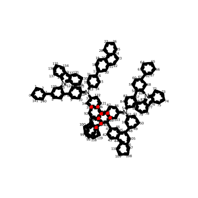 c1ccc(-c2ccc(-c3ccc(N(c4ccc(-c5ccc6c(ccc7ccccc76)c5)cc4)c4ccc(-c5ccc(-c6ccc7c(c6)c(-c6cccc(N(c8ccc(-c9ccc(-c%10ccccc%10)cc9-n9c%10ccccc%10c%10ccccc%109)cc8)c8ccc(-c9cccc%10c9oc9ccccc9%10)cc8)c6)cc6ccccc67)c6c5oc5ccccc56)cc4)cc3)c(-n3c4ccccc4c4ccccc43)c2)cc1